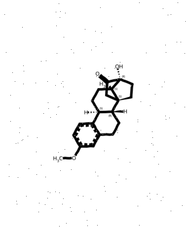 COc1ccc2c(c1)CC[C@@H]1[C@@H]2CC[C@@]2(C)[C@]13CC[C@]2(O)C(=O)C3